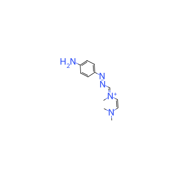 CN(C)\C=C/[N+](C)=C/N=N/c1ccc(N)cc1